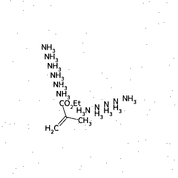 C=C(C)C(=O)OCC.N.N.N.N.N.N.N.N.N.N.N